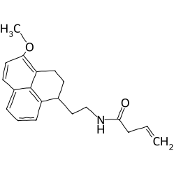 C=CCC(=O)NCCC1CCc2c(OC)ccc3cccc1c23